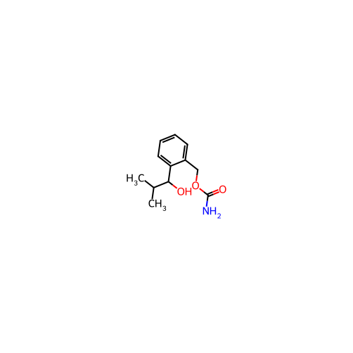 CC(C)C(O)c1ccccc1COC(N)=O